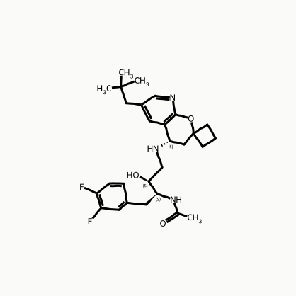 CC(=O)N[C@@H](Cc1ccc(F)c(F)c1)[C@@H](O)CN[C@H]1CC2(CCC2)Oc2ncc(CC(C)(C)C)cc21